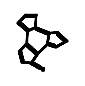 O=c1ccc2c3cccc3c3cccc3c12